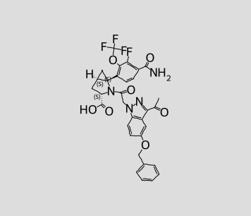 CC(=O)c1nn(CC(=O)N2[C@H](C(=O)O)C[C@H]3C[C@@]32c2ccc(C(N)=O)c(F)c2OC(F)(F)F)c2ccc(OCc3ccccc3)cc12